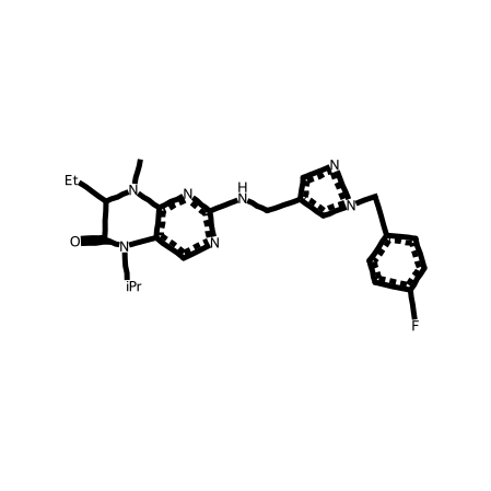 CCC1C(=O)N(C(C)C)c2cnc(NCc3cnn(Cc4ccc(F)cc4)c3)nc2N1C